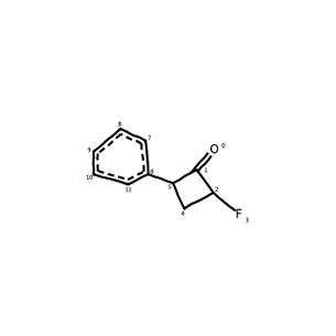 O=C1C(F)CC1c1ccccc1